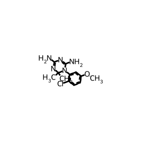 COc1ccc(Cl)c(N2C(N)=NC(N)=NC2(C)C)c1